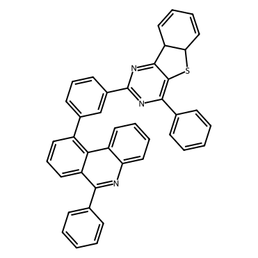 C1=CC2Sc3c(-c4ccccc4)nc(-c4cccc(-c5cccc6c(-c7ccccc7)nc7ccccc7c56)c4)nc3C2C=C1